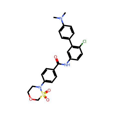 CN(C)c1ccc(-c2cc(NC(=O)c3ccc(N4CCOCS4(=O)=O)cc3)ccc2Cl)cc1